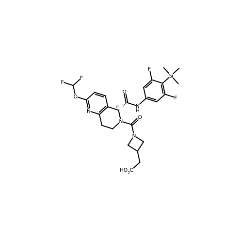 C[Si](C)(C)c1c(F)cc(NC(=O)[C@H]2c3ccc(OC(F)F)nc3CCN2C(=O)N2CC(CC(=O)O)C2)cc1F